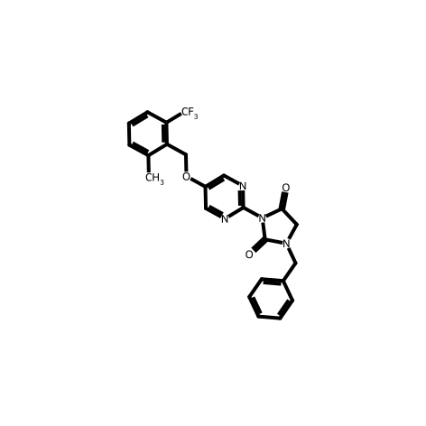 Cc1cccc(C(F)(F)F)c1COc1cnc(N2C(=O)CN(Cc3ccccc3)C2=O)nc1